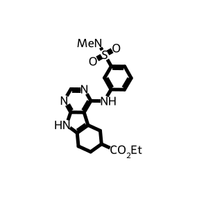 CCOC(=O)C1CCc2[nH]c3ncnc(Nc4cccc(S(=O)(=O)NC)c4)c3c2C1